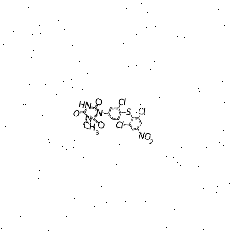 Cn1c(=O)[nH]c(=O)n(-c2ccc(Sc3c(Cl)cc([N+](=O)[O-])cc3Cl)c(Cl)c2)c1=O